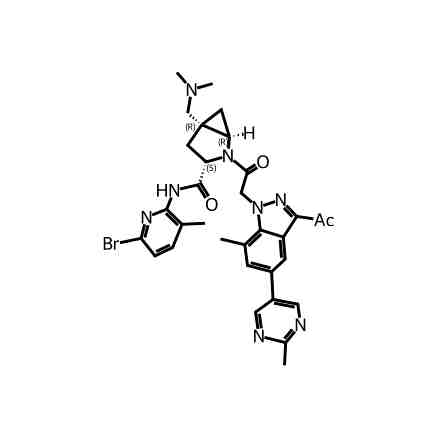 CC(=O)c1nn(CC(=O)N2[C@H](C(=O)Nc3nc(Br)ccc3C)C[C@@]3(CN(C)C)C[C@@H]23)c2c(C)cc(-c3cnc(C)nc3)cc12